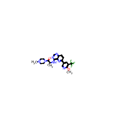 COc1ncc(-c2ccc3ncnc(N[C@@H](C)C(=O)N4CCN(C)CC4)c3n2)cc1C(F)(F)F